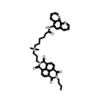 CCCCN1C(=O)c2ccc3c4c(ccc(c24)C1=O)C(=O)N(CCC[N+](C)(C)CCCCCC(=O)Nc1cc2cccnc2c2ncccc12)C3=O